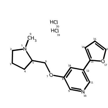 CN1CCCC1COc1cncc(-c2ccco2)c1.Cl.Cl